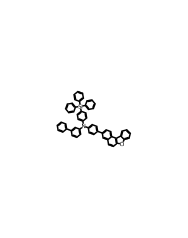 c1ccc(-c2cccc(N(c3ccc(-c4ccc5c(ccc6oc7ccccc7c65)c4)cc3)c3ccc([Si](c4ccccc4)(c4ccccc4)c4ccccc4)cc3)c2)cc1